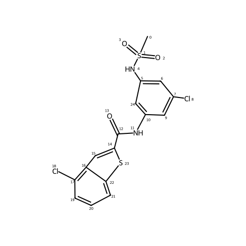 CS(=O)(=O)Nc1cc(Cl)cc(NC(=O)c2cc3c(Cl)cccc3s2)c1